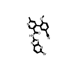 COc1ccc(C#N)cc1-c1cc(C)ncc1C(=O)Nc1nc2ccc(Br)nc2s1